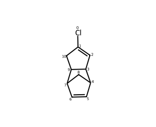 ClC1=CC2C3C=CC(C3)C2C1